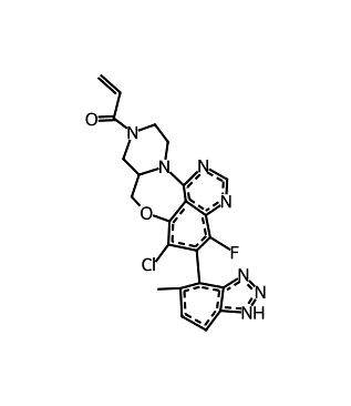 C=CC(=O)N1CCN2c3ncnc4c(F)c(-c5c(C)ccc6[nH]nnc56)c(Cl)c(c34)OCC2C1